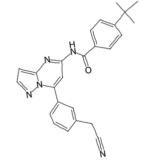 CC(C)(C)c1ccc(C(=O)Nc2cc(-c3cccc(CC#N)c3)n3nccc3n2)cc1